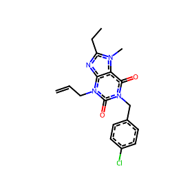 C=CCn1c(=O)n(Cc2ccc(Cl)cc2)c(=O)c2c1nc(CC)n2C